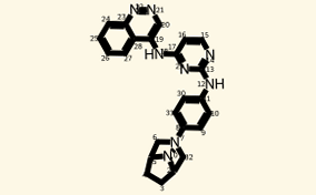 CN1C2CCC1CN(c1ccc(Nc3nccc(Nc4cnnc5ccccc45)n3)cc1)C2